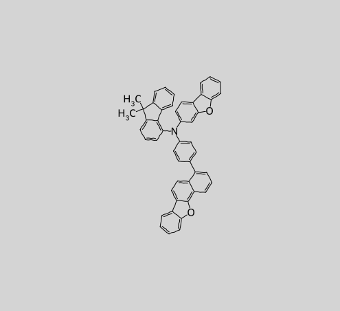 CC1(C)c2ccccc2-c2c(N(c3ccc(-c4cccc5c4ccc4c6ccccc6oc54)cc3)c3ccc4c(c3)oc3ccccc34)cccc21